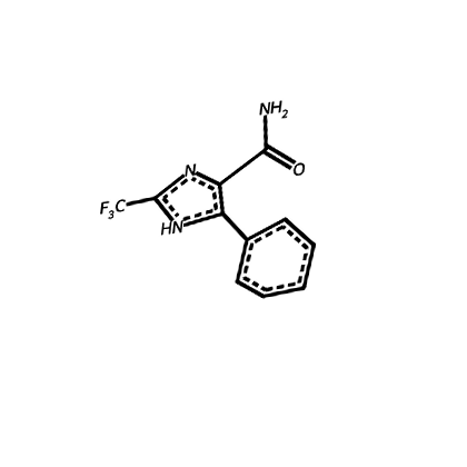 NC(=O)c1nc(C(F)(F)F)[nH]c1-c1ccccc1